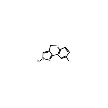 CC(C)n1cc2c(n1)-c1cc(Cl)ccc1SC2